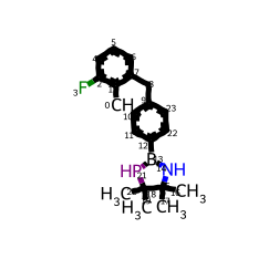 Cc1c(F)cccc1Cc1ccc(B2NC(C)(C)C(C)(C)P2)cc1